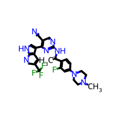 C[C@@H](Nc1ncc(C#N)c(-c2c[nH]c3ncc(C(F)(F)F)cc23)n1)c1ccc(N2CCN(C)CC2)cc1F